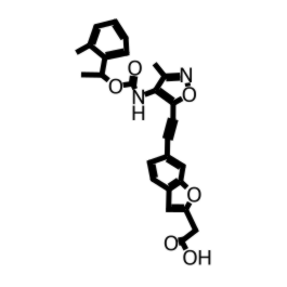 Cc1ccccc1C(C)OC(=O)Nc1c(C)noc1C#Cc1ccc2cc(CC(=O)O)oc2c1